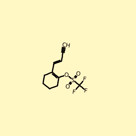 C#CC=CC1=C(OS(=O)(=O)C(F)(F)F)CCCC1